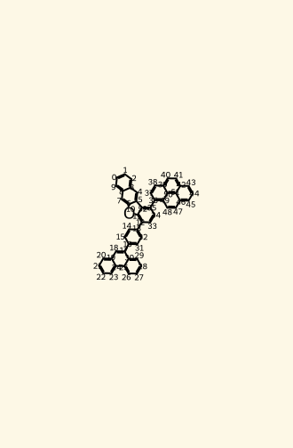 c1ccc2cc3c(cc2c1)oc1c(-c2ccc(-c4cc5ccccc5c5ccccc45)cc2)ccc(-c2ccc4ccc5cccc6ccc2c4c56)c13